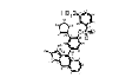 Cc1sc2cc3ccccc3c(-c3ccc(OS(=O)(=O)c4cccc(C(=O)O)c4)c(C4CCCC4)c3)c2c1C